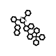 c1ccc(-c2nc(-c3ccccc3-c3ccc4ccccc4c3)cc(-c3ccc(-c4cccc5c4-c4ccccc4C5(c4ccccc4)c4ccccc4)c4ccccc34)n2)cc1